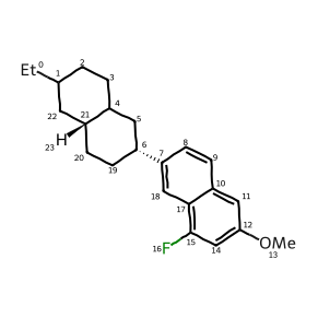 CCC1CCC2C[C@H](c3ccc4cc(OC)cc(F)c4c3)CC[C@@H]2C1